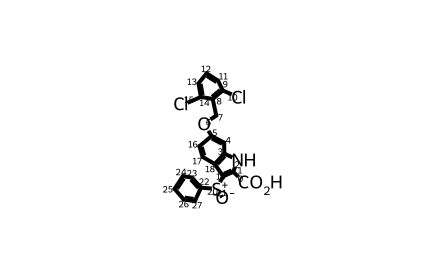 O=C(O)c1[nH]c2cc(OCc3c(Cl)cccc3Cl)ccc2c1[S+]([O-])c1ccccc1